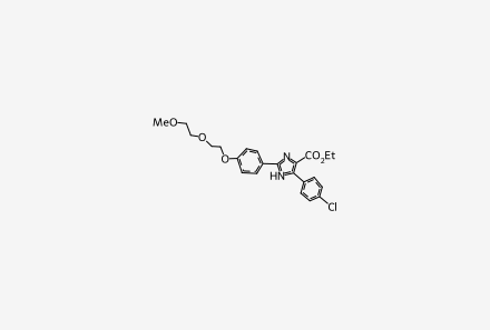 CCOC(=O)c1nc(-c2ccc(OCCOCCOC)cc2)[nH]c1-c1ccc(Cl)cc1